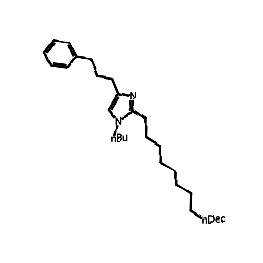 CCCCCCCCCCCCCCCCCCc1nc(CCCc2ccccc2)cn1CCCC